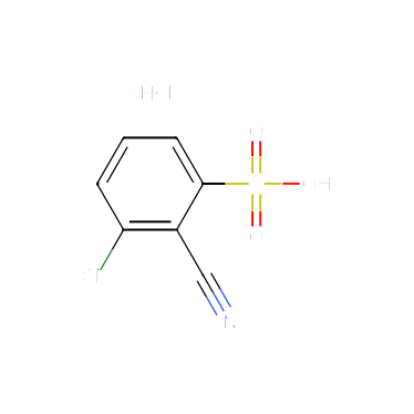 Cl.N#Cc1c(Cl)cccc1S(=O)(=O)O